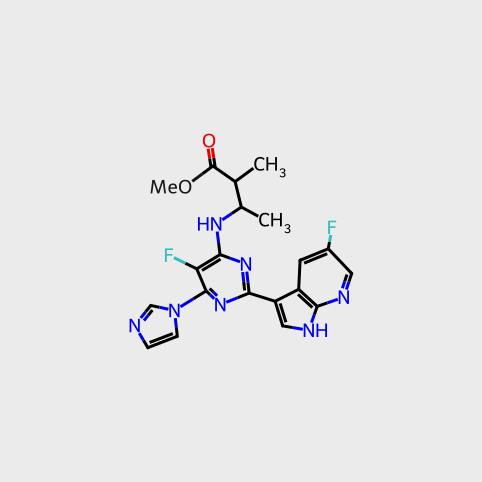 COC(=O)C(C)C(C)Nc1nc(-c2c[nH]c3ncc(F)cc23)nc(-n2ccnc2)c1F